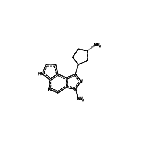 N[C@H]1CCC(c2nn(N)c3cnc4[nH]ccc4c23)C1